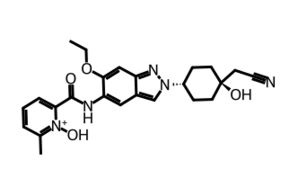 CCOc1cc2nn([C@H]3CC[C@@](O)(CC#N)CC3)cc2cc1NC(=O)c1cccc(C)[n+]1O